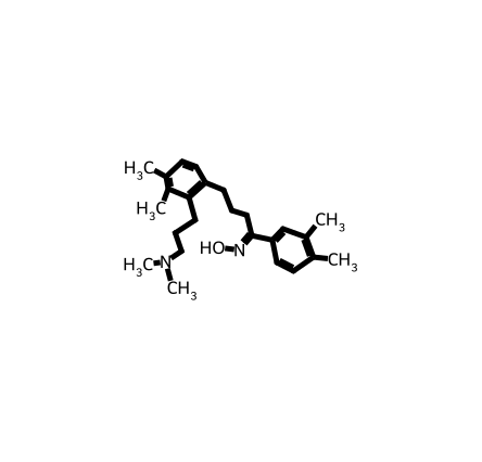 Cc1ccc(C(CCCc2ccc(C)c(C)c2CCCN(C)C)=NO)cc1C